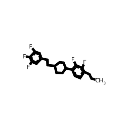 CCCc1ccc(C2CCC(CCc3cc(F)c(F)c(F)c3)CC2)c(F)c1F